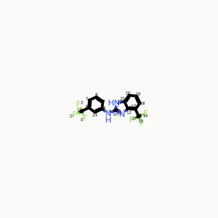 FC(F)(F)c1cccc(Nc2nc3c(C(F)(F)F)cccc3[nH]2)c1